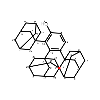 Oc1ccc(C23CC4CC(CC(C4)C2)C3)c(C23CC4CC(CC(C4)C2)C3)c1C12CC3CC(CC(C3)C1)C2